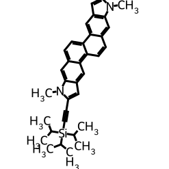 CC(C)[Si](C#Cc1cc2cc3c(ccc4c5cc6ccn(C)c6cc5ccc34)cc2n1C)(C(C)C)C(C)C